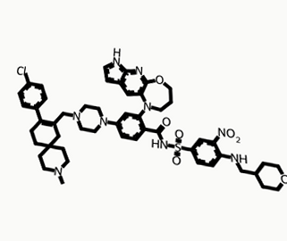 CN1CCC2(CCC(c3ccc(Cl)cc3)=C(CN3CCN(c4ccc(C(=O)NS(=O)(=O)c5ccc(NCC6CCOCC6)c([N+](=O)[O-])c5)c(N5CCCOc6nc7[nH]ccc7cc65)c4)CC3)C2)CC1